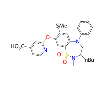 CCCCC1CN(c2ccccc2)c2cc(SC)c(Oc3cc(C(=O)O)ccn3)cc2S(=O)(=O)N1C